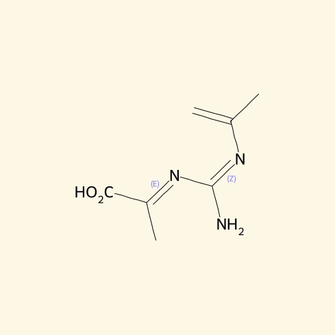 C=C(C)/N=C(N)\N=C(/C)C(=O)O